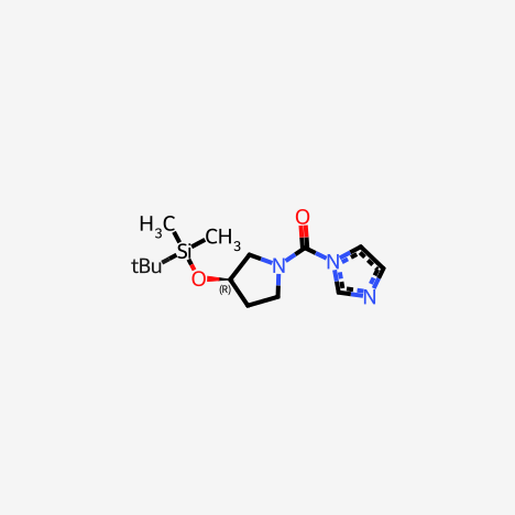 CC(C)(C)[Si](C)(C)O[C@@H]1CCN(C(=O)n2ccnc2)C1